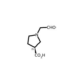 O=[C]CN1CC[C@H](C(=O)O)C1